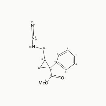 COC(=O)C1(c2ccccc2)CC1CN=[N+]=[N-]